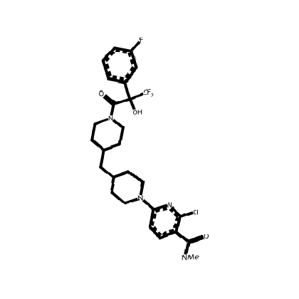 CNC(=O)c1ccc(N2CCC(CC3CCN(C(=O)C(O)(c4cccc(F)c4)C(F)(F)F)CC3)CC2)nc1Cl